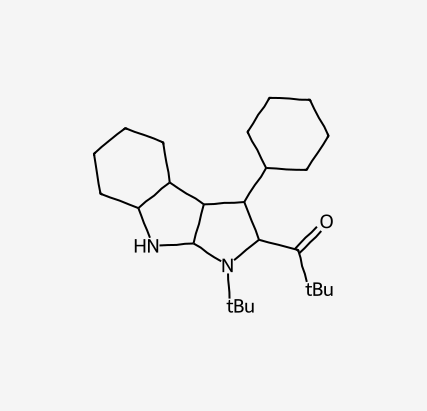 CC(C)(C)C(=O)C1C(C2CCCCC2)C2C3CCCCC3NC2N1C(C)(C)C